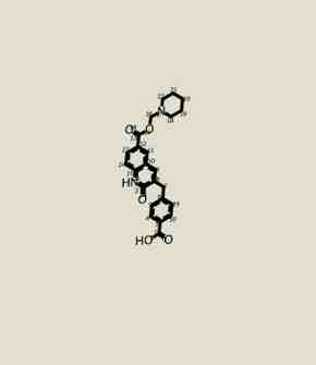 O=C(O)c1ccc(Cc2cc3cc(C(=O)OCN4CCCCC4)ccc3[nH]c2=O)cc1